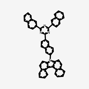 c1ccc2cc(-c3nc(-c4ccc5ccccc5c4)nc(-c4ccc5cc(-n6c7ccc8ccccc8c7c7c8ccccc8ccc76)ccc5c4)n3)ccc2c1